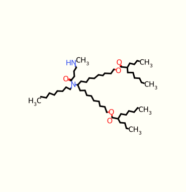 CCCCCCCCCN(C(=O)CCCNC)C(CCCCCCCCCOC(=O)C(CCCC)CCCCCC)CCCCCCCCCOC(=O)C(CCCC)CCCCCC